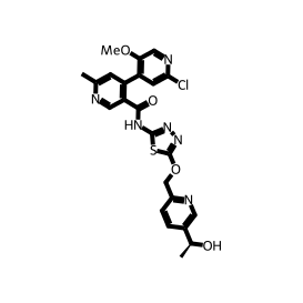 COc1cnc(Cl)cc1-c1cc(C)ncc1C(=O)Nc1nnc(OCc2ccc([C@H](C)O)cn2)s1